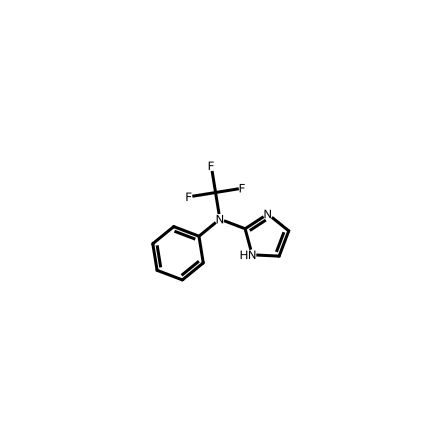 FC(F)(F)N(c1ccccc1)c1ncc[nH]1